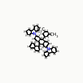 Cc1cc(C)cc(-c2c3cc(-n4c5ccccc5c5ccccc54)ccc3c(-c3cccc4ccccc34)c3cc(-n4c5ccccc5c5ccccc54)ccc23)c1